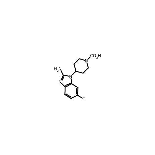 Nc1nc2ccc(F)cc2n1C1CCN(C(=O)O)CC1